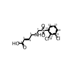 O=C(O)C=CCNCS(=O)(=O)c1cccc(Cl)c1Cl